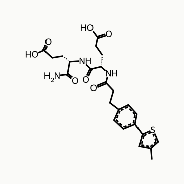 Cc1csc(-c2ccc(CCC(=O)N[C@@H](CCC(=O)O)C(=O)N[C@@H](CCC(=O)O)C(N)=O)cc2)c1